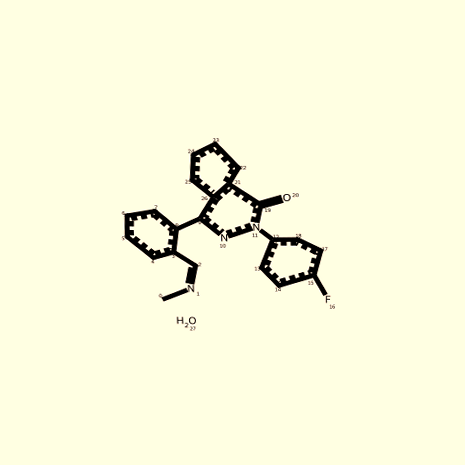 C/N=C\c1ccccc1-c1nn(-c2ccc(F)cc2)c(=O)c2ccccc12.O